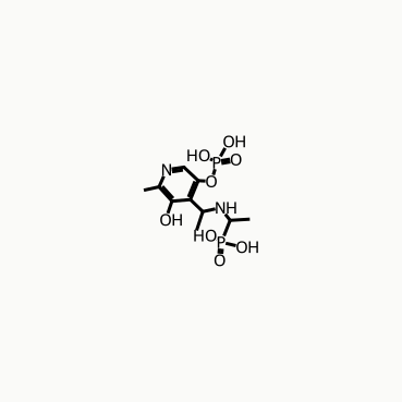 Cc1ncc(OP(=O)(O)O)c(C(C)NC(C)P(=O)(O)O)c1O